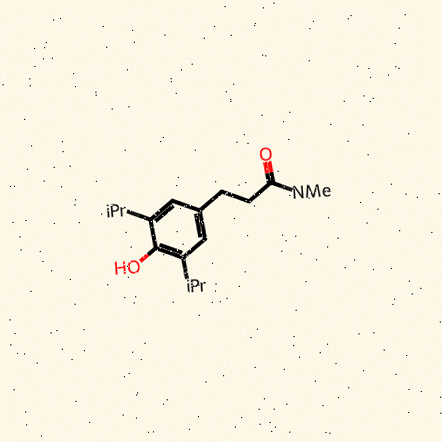 CNC(=O)CCc1cc(C(C)C)c(O)c(C(C)C)c1